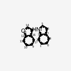 c1ccc2[nH]ccc2c1.c1ccc2occc2c1